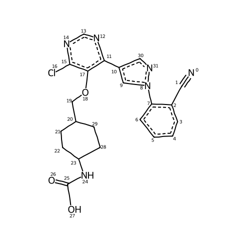 N#Cc1ccccc1-n1cc(-c2ncnc(Cl)c2OCC2CCC(NC(=O)O)CC2)cn1